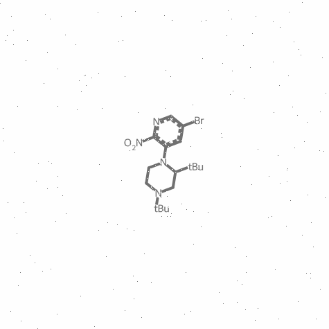 CC(C)(C)C1CN(C(C)(C)C)CCN1c1cc(Br)cnc1[N+](=O)[O-]